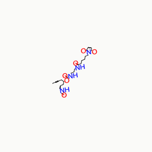 CC#CCC(C/C=C\NC=O)OC(=O)NCCCNC(=O)CCCCCN1C(=O)C=CC1=O